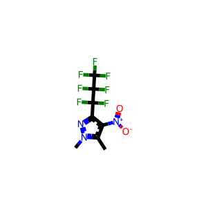 Cc1c([N+](=O)[O-])c(C(F)(F)C(F)(F)C(F)(F)F)nn1C